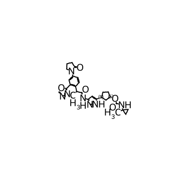 CC(C(=O)Nc1cc([C@H]2CC[C@H](OC(=O)NC3(C)CC3)C2)[nH]n1)c1ccc(N2CCCC2=O)cc1-c1nnco1